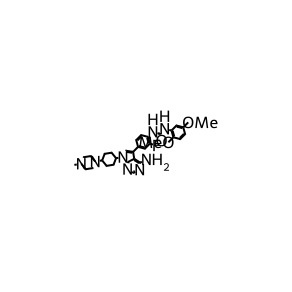 COc1ccc(OC)c(NC(=O)Nc2ccc(-c3cn(C4CCC(N5CCN(C)CC5)CC4)c4ncnc(N)c34)cc2F)c1